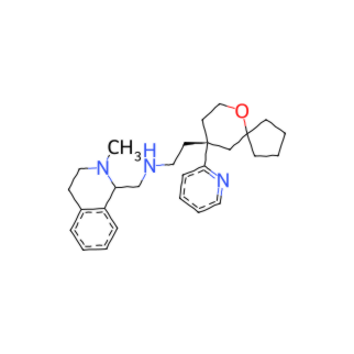 CN1CCc2ccccc2C1CNCC[C@@]1(c2ccccn2)CCOC2(CCCC2)C1